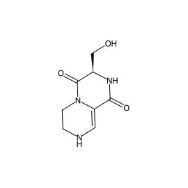 O=C1N[C@H](CO)C(=O)N2CCNC=C12